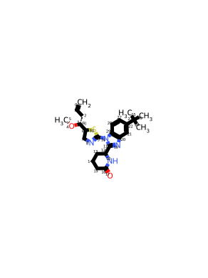 C=CC[C@@H](OC)C1CN=C(n2c(C3CCCC(=O)N3)nc3cc(C(C)(C)C)ccc32)S1